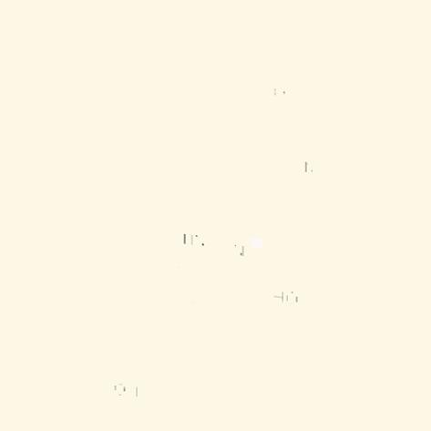 O=C(Cc1cccc(O)c1)N/N=C/c1c(O)cccc1N1CCOCC1